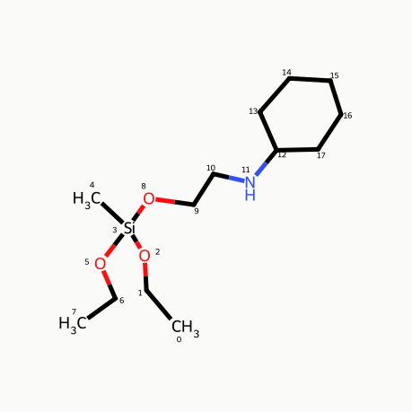 CCO[Si](C)(OCC)OCCNC1CCCCC1